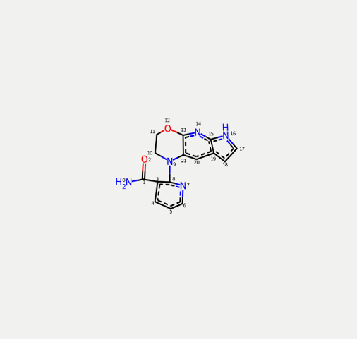 NC(=O)c1cccnc1N1CCOc2nc3[nH]ccc3cc21